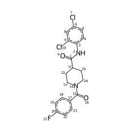 O=C(Nc1ccc(Cl)cc1Cl)C1CCN(C(=O)c2ccc(F)cc2)CC1